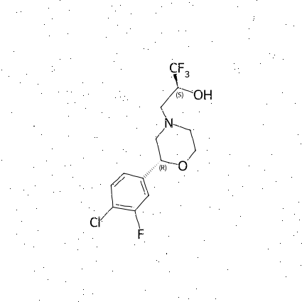 O[C@@H](CN1CCO[C@H](c2ccc(Cl)c(F)c2)C1)C(F)(F)F